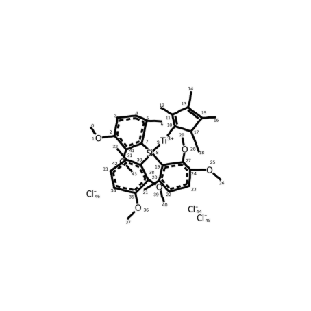 COc1ccc(C)c([Si]([Ti+3][C]2=C(C)C(C)=C(C)C2C)(c2c(C)ccc(OC)c2OC)c2c(C)ccc(OC)c2OC)c1OC.[Cl-].[Cl-].[Cl-]